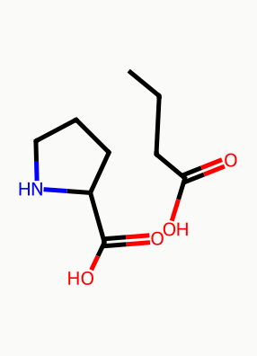 CCCC(=O)O.O=C(O)C1CCCN1